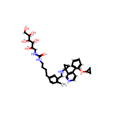 Cc1ccc(CCCCNC(=O)NCC(O)C(O)C(O)C(O)CO)cc1CNC1(c2cnccc2-c2ccccc2OC2CC2)CC1